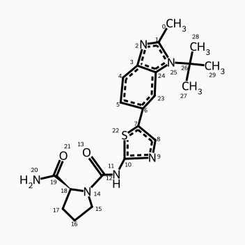 Cc1nc2ccc(-c3cnc(NC(=O)N4CCC[C@H]4C(N)=O)s3)cc2n1C(C)(C)C